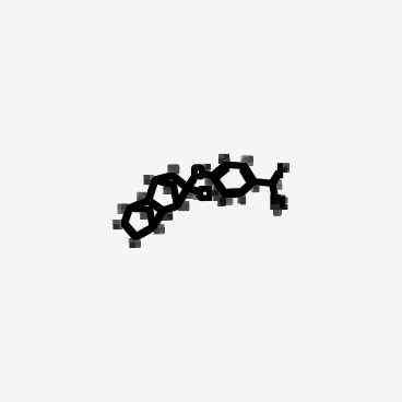 CCC(I)c1ccc(OC2(C)CC3CC2C2C4CCC(C4)C32)cc1